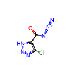 [N-]=[N+]=NC(=O)c1[nH]nnc1Cl